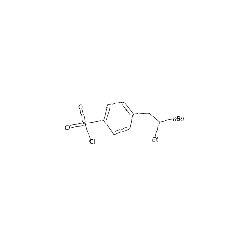 CCCCC(CC)Cc1ccc(S(=O)(=O)Cl)cc1